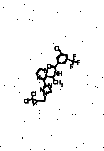 CC(NC(=O)c1cc(Cl)cc(C(F)(F)F)c1)c1nccnc1-c1ncn(CC2CC2(Cl)Cl)n1